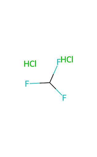 Cl.Cl.FC(F)F